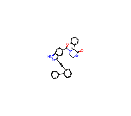 O=C1NCCN(C(=O)c2ccc3[nH]nc(C#Cc4ccccc4-c4ccccc4)c3c2)[C@H]1c1ccccc1